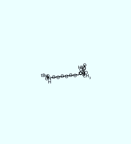 Cn1c(=O)n(C2CCC(=O)NC2=O)c2ccc(CCOCCOCCOCCOCCOCCOCCNC(=O)OC(C)(C)C)cc21